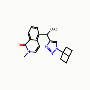 CC(=O)OC(c1cn(C23CCC2CC3)nn1)c1cccc2c(=O)n(C)ccc12